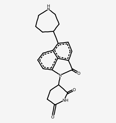 O=C1CCC(N2C(=O)c3ccc(C4CCCNCC4)c4cccc2c34)C(=O)N1